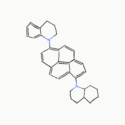 c1ccc2c(c1)CCCN2c1ccc2ccc3c(N4CCCC5CCCCC54)ccc4ccc1c2c43